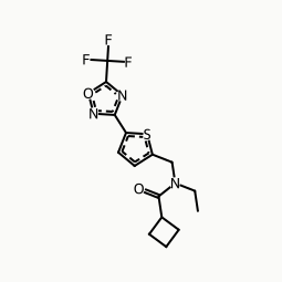 CCN(Cc1ccc(-c2noc(C(F)(F)F)n2)s1)C(=O)C1CCC1